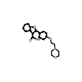 O=c1[nH]c2cc(OCCN3CCOCC3)ccc2c2oc3ccccc3c12